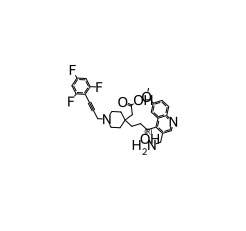 COc1ccc2ncc(CN)c([C@H](O)CCC3(CC(=O)O)CCN(CC#Cc4c(F)cc(F)cc4F)CC3)c2c1